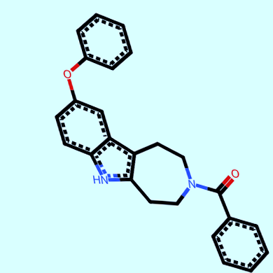 O=C(c1ccccc1)N1CCc2[nH]c3ccc(Oc4ccccc4)cc3c2CC1